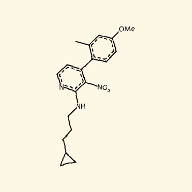 COc1ccc(-c2ccnc(NCCCC3CC3)c2[N+](=O)[O-])c(C)c1